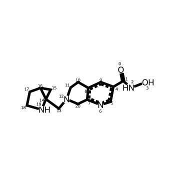 O=C(NO)c1cnc2c(c1)CCN(CC13CC1CCN3)C2